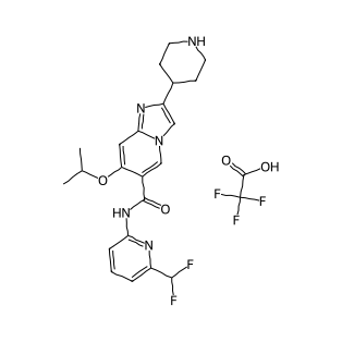 CC(C)Oc1cc2nc(C3CCNCC3)cn2cc1C(=O)Nc1cccc(C(F)F)n1.O=C(O)C(F)(F)F